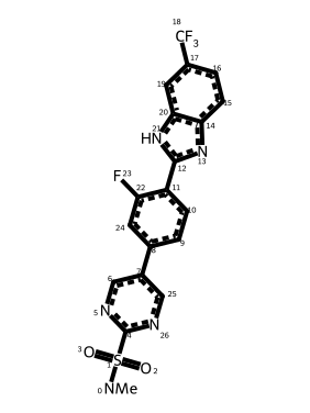 CNS(=O)(=O)c1ncc(-c2ccc(-c3nc4ccc(C(F)(F)F)cc4[nH]3)c(F)c2)cn1